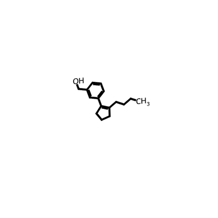 CCCCC1=C(c2cccc(CO)c2)CCC1